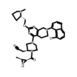 C[C@@H]1N[C@@H]1C(=O)N1CCN(c2nc(OC[C@@H]3CCCN3C)nc3c2CCN(c2cccc4cccc(Cl)c24)C3)C[C@@H]1CC#N